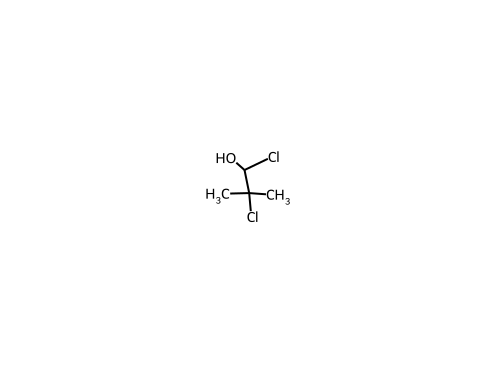 CC(C)(Cl)C(O)Cl